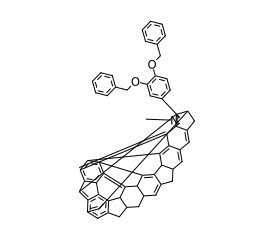 CN1CC23C4=CC5=CC6CC7=CC8CC9Cc%10cc%11c%12c%13c%10C9C9=c%10c%14c%15c(c(c%10-%13)C=%12C2(C(C=%11)C4)C1c1ccc(OCc2ccccc2)c(OCc2ccccc2)c1)=C3C5=C%15C6C7=C%14C98